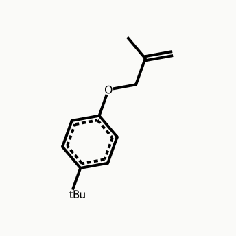 C=C(C)COc1ccc(C(C)(C)C)cc1